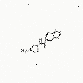 CN1CC[C@@H](NC(=O)c2ccc3nsnc3c2)C1